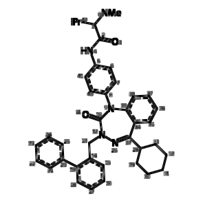 CNC(C(=O)Nc1ccc(N2C(=O)N(Cc3ccccc3-c3ccccc3)N=C(C3CCCCC3)c3ccccc32)cc1)C(C)C